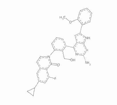 COc1ccccc1-c1cc2c(-c3cccc(-n4ccc5cc(C6CC6)cc(F)c5c4=O)c3CO)nc(N)nc2[nH]1